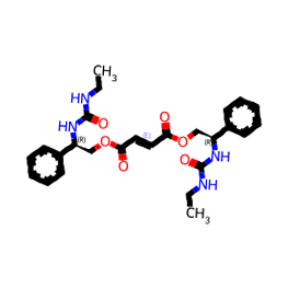 CCNC(=O)N[C@@H](COC(=O)/C=C/C(=O)OC[C@H](NC(=O)NCC)c1ccccc1)c1ccccc1